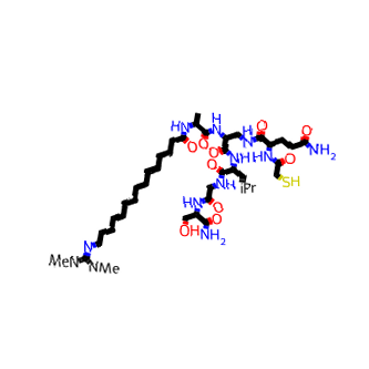 CNC(=NCCCCCCCCCCCCCCC(=O)NC(C)C(=O)NC(CNC(=O)C(CCC(N)=O)NC(=O)CS)C(=O)NC(CC(C)C)C(=O)NCC(=O)NC(CO)C(N)=O)NC